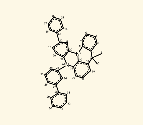 CC1(C)c2ccccc2N2c3cc(-c4ccccc4)ccc3N(c3cccc(-c4ccccc4)c3)c3cccc1c32